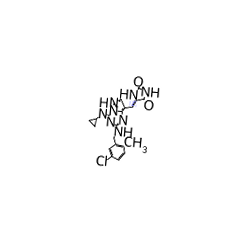 Cc1ccc(Cl)cc1CNc1nc(NC2CC2)n2ncc(/C=C3\NC(=O)NC3=O)c2n1